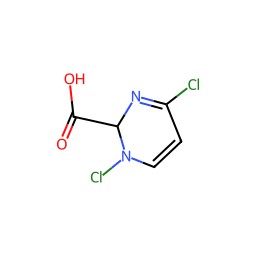 O=C(O)C1N=C(Cl)C=CN1Cl